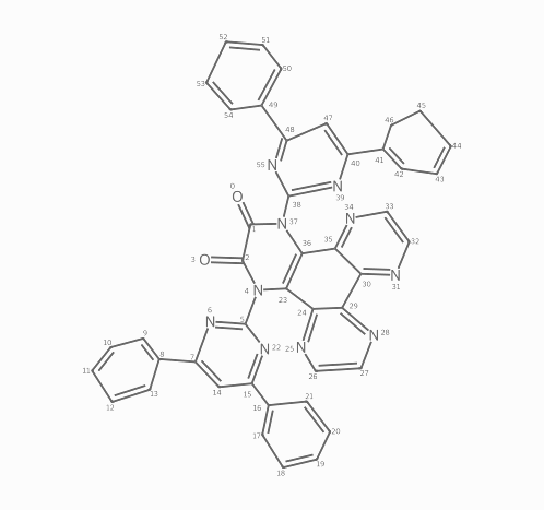 O=c1c(=O)n(-c2nc(-c3ccccc3)cc(-c3ccccc3)n2)c2c3nccnc3c3nccnc3c2n1-c1nc(C2=CC=CCC2)cc(-c2ccccc2)n1